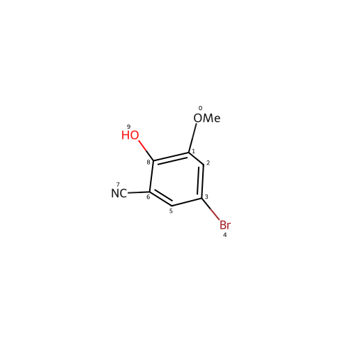 COc1cc(Br)cc(C#N)c1O